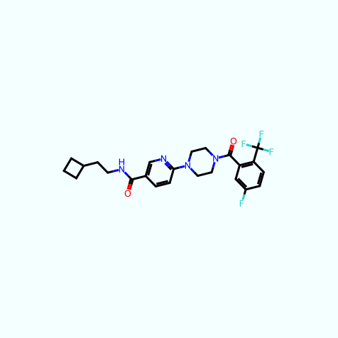 O=C(NCCC1CCC1)c1ccc(N2CCN(C(=O)c3cc(F)ccc3C(F)(F)F)CC2)nc1